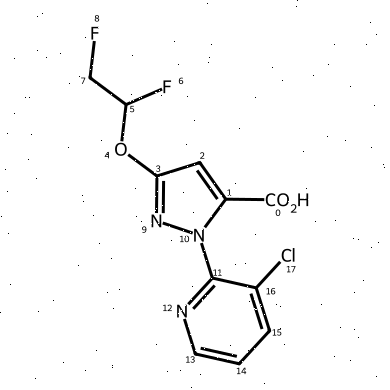 O=C(O)c1cc(OC(F)CF)nn1-c1ncccc1Cl